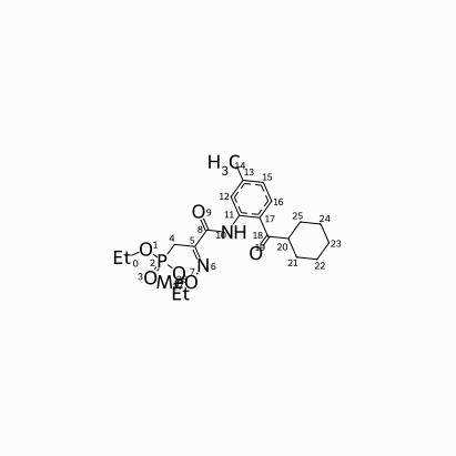 CCOP(=O)(CC(=NOC)C(=O)Nc1cc(C)ccc1C(=O)C1CCCCC1)OCC